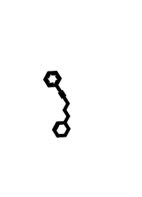 C(#Cc1ccccc1)CCCC1C=CCCC1